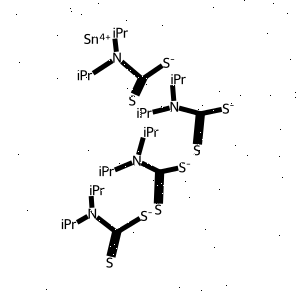 CC(C)N(C(=S)[S-])C(C)C.CC(C)N(C(=S)[S-])C(C)C.CC(C)N(C(=S)[S-])C(C)C.CC(C)N(C(=S)[S-])C(C)C.[Sn+4]